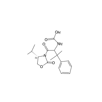 CC(C)[C@H]1COC(=O)N1C(=O)C(NC(=O)O)C(C)(C)c1ccccc1